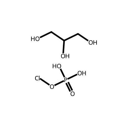 O=P(O)(O)OCl.OCC(O)CO